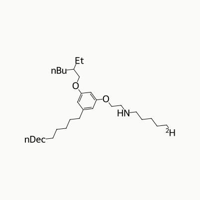 [2H]CCCCCNCCOc1cc(CCCCCCCCCCCCCCC)cc(OCC(CC)CCCC)c1